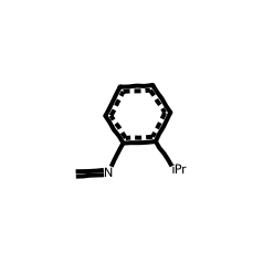 C=Nc1ccccc1C(C)C